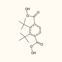 CC(C)(C)c1c(C(=O)OO)ccc(C(=O)OO)c1C(C)(C)C